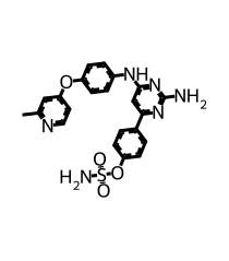 Cc1cc(Oc2ccc(Nc3cc(-c4ccc(OS(N)(=O)=O)cc4)nc(N)n3)cc2)ccn1